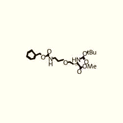 COC(=O)[C@H](CCOCCCNC(=O)OCc1ccccc1)NC(=O)OC(C)(C)C